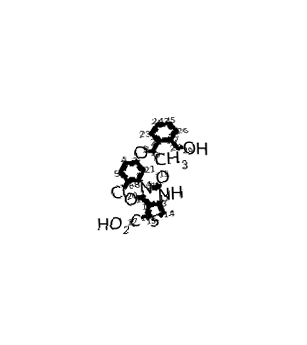 CC(Oc1ccc(Cl)c(-n2c(=O)[nH]c3csc(C(=O)O)c3c2=O)c1)c1ccccc1CO